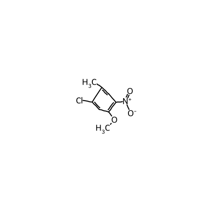 COc1cc(Cl)c(C)cc1[N+](=O)[O-]